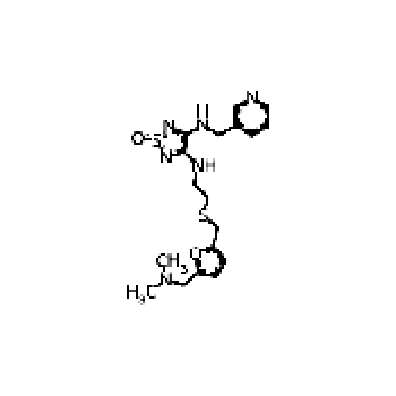 CN(C)Cc1ccc(CSCCNc2n[s+]([O-])nc2NCc2cccnc2)o1